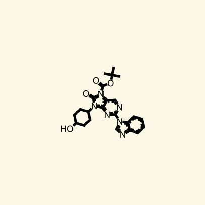 CC(C)(C)OC(=O)n1c(=O)n(C2CCC(O)CC2)c2nc(-n3cnc4ccccc43)ncc21